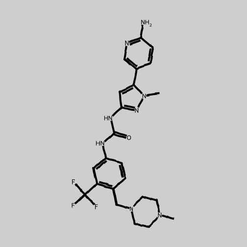 CN1CCN(Cc2ccc(NC(=O)Nc3cc(-c4ccc(N)nc4)n(C)n3)cc2C(F)(F)F)CC1